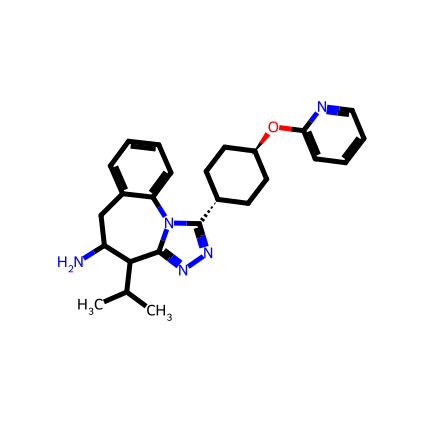 CC(C)C1c2nnc([C@H]3CC[C@H](Oc4ccccn4)CC3)n2-c2ccccc2CC1N